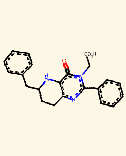 O=C(O)Cn1c(-c2ccccc2)nc2c(c1=O)NC(Cc1ccccc1)CC2